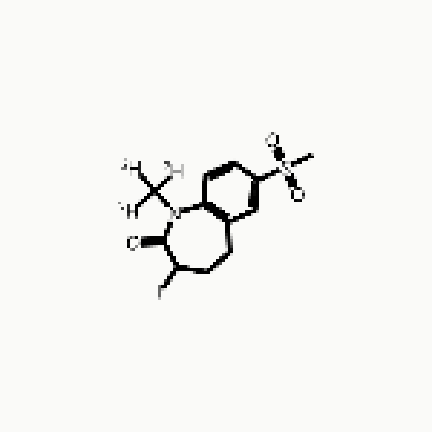 [2H]C([2H])([2H])N1C(=O)C(I)CCc2cc(S(C)(=O)=O)ccc21